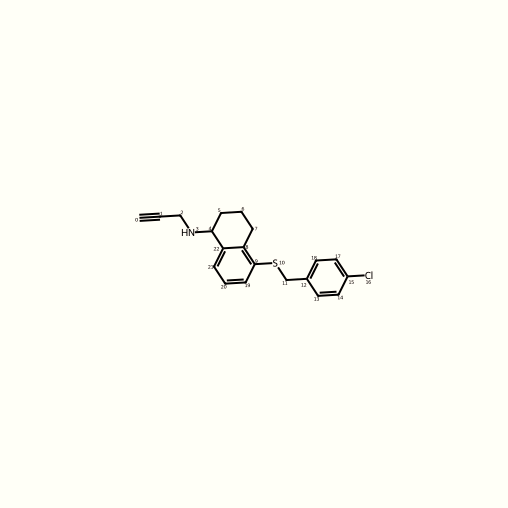 C#CCNC1CCCc2c(SCc3ccc(Cl)cc3)cccc21